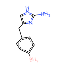 Bc1ccc(Cc2c[nH]c(N)n2)cc1